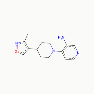 Cc1nocc1C1CCN(c2ccncc2N)CC1